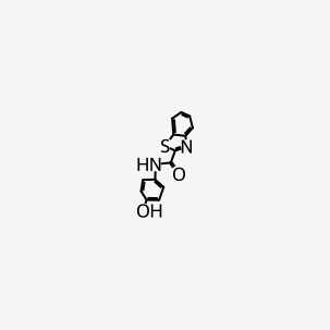 O=C(Nc1ccc(O)cc1)c1nc2ccccc2s1